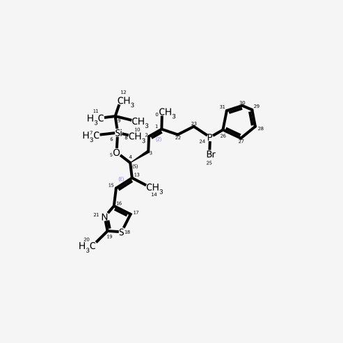 C/C(=C/C[C@H](O[Si](C)(C)C(C)(C)C)/C(C)=C/c1csc(C)n1)CCP(Br)c1ccccc1